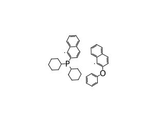 [c]1c(Oc2ccccc2)ccc2ccccc12.[c]1c(P(C2CCCCC2)C2CCCCC2)ccc2ccccc12